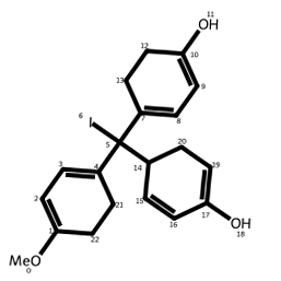 COC1=CC=C(C(I)(C2=CC=C(O)CC2)C2C=CC(O)=CC2)CC1